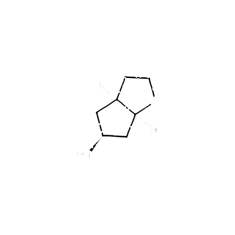 CC(C)(C)[C@H]1C[C@H]2CCO[C@H]2C1